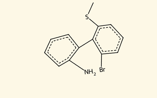 CSc1cccc(Br)c1-c1ccccc1N